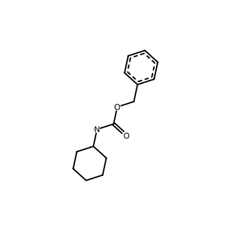 O=C([N]C1CCCCC1)OCc1ccccc1